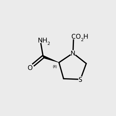 NC(=O)[C@@H]1CSCN1C(=O)O